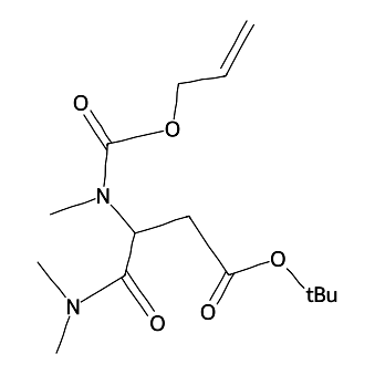 C=CCOC(=O)N(C)C(CC(=O)OC(C)(C)C)C(=O)N(C)C